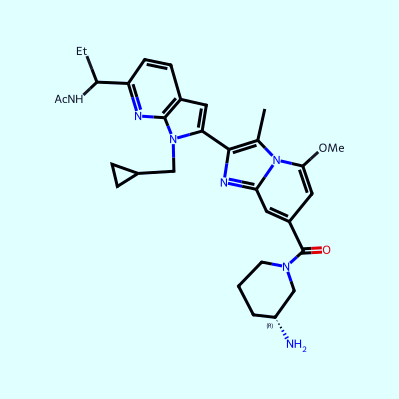 CCC(NC(C)=O)c1ccc2cc(-c3nc4cc(C(=O)N5CCC[C@@H](N)C5)cc(OC)n4c3C)n(CC3CC3)c2n1